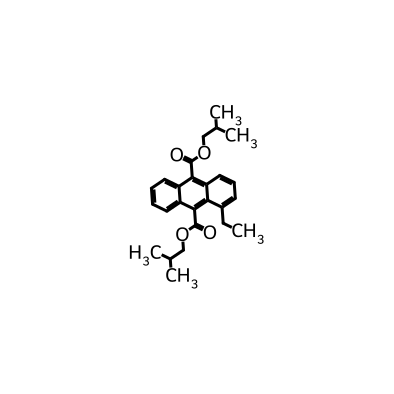 CCc1cccc2c(C(=O)OCC(C)C)c3ccccc3c(C(=O)OCC(C)C)c12